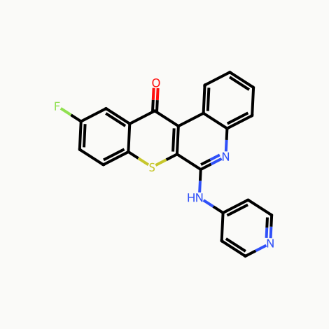 O=c1c2cc(F)ccc2sc2c(Nc3ccncc3)nc3ccccc3c12